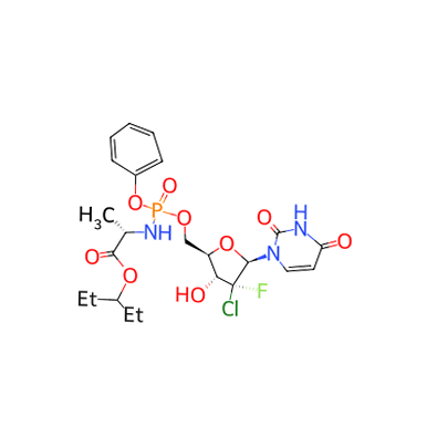 CCC(CC)OC(=O)[C@H](C)NP(=O)(OC[C@H]1O[C@@H](n2ccc(=O)[nH]c2=O)[C@@](F)(Cl)[C@@H]1O)Oc1ccccc1